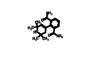 CC1(C)C=C(c2c(C(N)=O)cccc2C(N)=O)CC(C)(C)N1